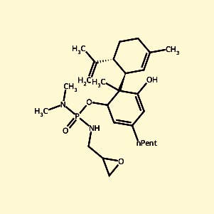 C=C(C)[C@@H]1CCC(C)=C[C@H]1C1(C)C(O)=CC(CCCCC)=CC1OP(=O)(NCC1CO1)N(C)C